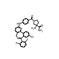 NC(=O)C1(N)CCN(C(=O)c2ccc(Nc3ccc4c(n3)-c3ccc(Cl)cc3C(c3c(F)cccc3F)=NC4)cc2)C1